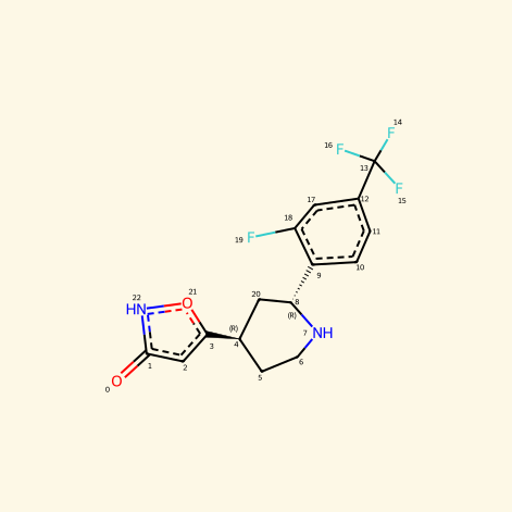 O=c1cc([C@@H]2CCN[C@@H](c3ccc(C(F)(F)F)cc3F)C2)o[nH]1